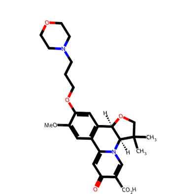 COc1cc2c(cc1OCCCN1CCOCC1)[C@H]1OCC(C)(C)[C@H]1n1cc(C(=O)O)c(=O)cc1-2